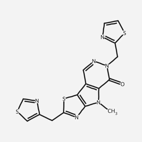 Cn1c2nc(Cc3cscn3)sc2c2cnn(Cc3nccs3)c(=O)c21